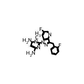 CN1C(n2nc(Cc3ccccc3F)c3ncc(F)cc32)=NC(N)=[C]C1N